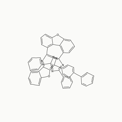 c1ccc(-c2ccc(-c3nc(-c4cccc5oc6cccc(-c7nc(-c8ccccc8)nc(-c8ccccc8)n7)c6c45)nc4c3oc3ccccc34)cc2)cc1